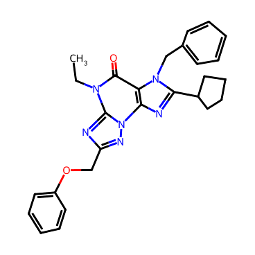 CCn1c(=O)c2c(nc(C3CCCC3)n2Cc2ccccc2)n2nc(COc3ccccc3)nc12